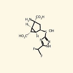 Cl.N[C@@]1(C(=O)O)C[C@@H](Sc2n[nH]c(C(F)F)n2)[C@H]2[C@H](C(=O)O)[C@H]21